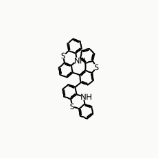 c1ccc2c(c1)Nc1c(cccc1-c1ccc3sc4ccccc4c3c1-c1cccc3c1Nc1ccccc1S3)S2